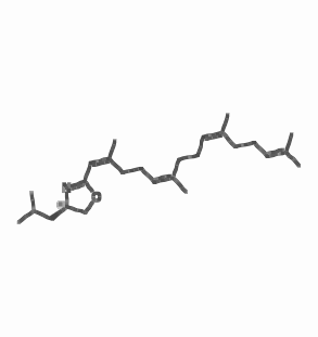 CC(C)=CCCC(C)=CCCC(C)=CCCC(C)=CC1=N[C@H](CC(C)C)CO1